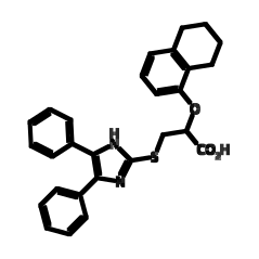 O=C(O)C(CSc1nc(-c2ccccc2)c(-c2ccccc2)[nH]1)Oc1cccc2c1CCCC2